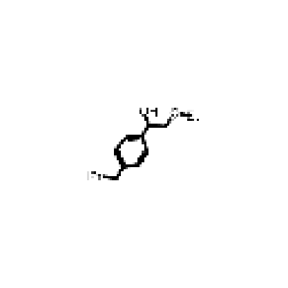 CCOCC(O)c1ccc(CC(C)C)cc1